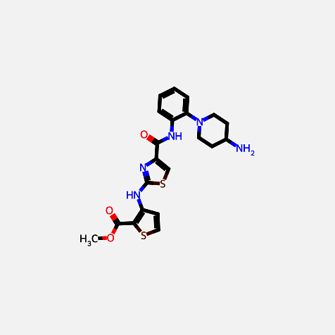 COC(=O)c1sccc1Nc1nc(C(=O)Nc2ccccc2N2CCC(N)CC2)cs1